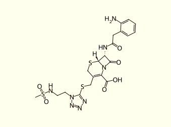 CS(=O)(=O)NCCn1nnnc1SCC1=C(C(=O)O)N2C(=O)[C@@H](NC(=O)Cc3ccccc3N)[C@H]2SC1